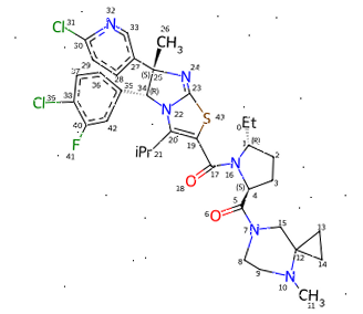 CC[C@@H]1CC[C@@H](C(=O)N2CCN(C)C3(CC3)C2)N1C(=O)C1=C(C(C)C)N2C(=N[C@@](C)(c3ccc(Cl)nc3)[C@H]2c2ccc(Cl)c(F)c2)S1